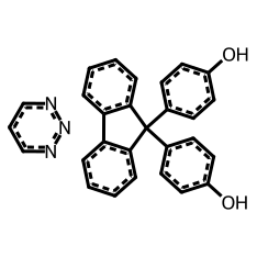 Oc1ccc(C2(c3ccc(O)cc3)c3ccccc3-c3ccccc32)cc1.c1cnnnc1